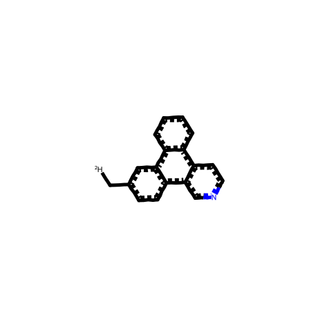 [2H]Cc1ccc2c3cnccc3c3ccccc3c2c1